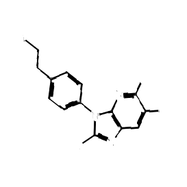 CCc1nc2cc(Cl)c(Cl)nc2n1-c1ccc(CCCl)cc1